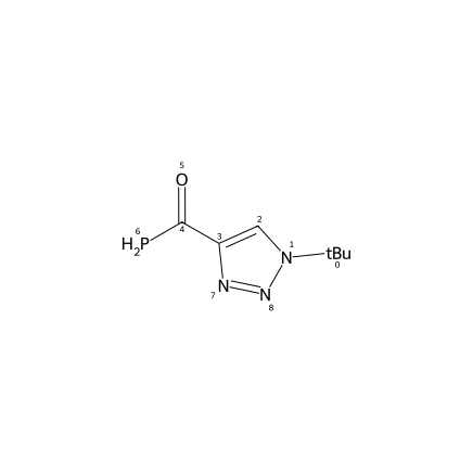 CC(C)(C)n1cc(C(=O)P)nn1